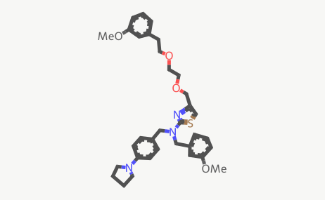 COc1cccc(CCOCCOCc2csc(N(Cc3ccc(N4CCCC4)cc3)Cc3cccc(OC)c3)n2)c1